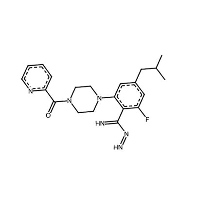 CC(C)Cc1cc(F)c(C(=N)N=N)c(N2CCN(C(=O)c3ccccn3)CC2)c1